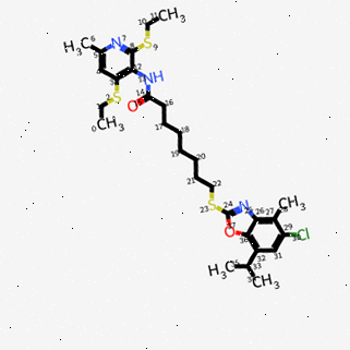 CCSc1cc(C)nc(SCC)c1NC(=O)CCCCCCCSc1nc2c(C)c(Cl)cc(C(C)C)c2o1